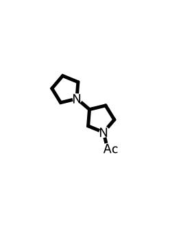 CC(=O)N1CCC(N2CCCC2)C1